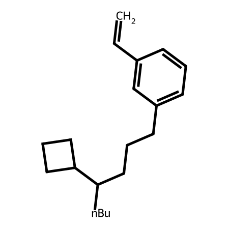 C=Cc1cccc(CCCC(CCCC)C2CCC2)c1